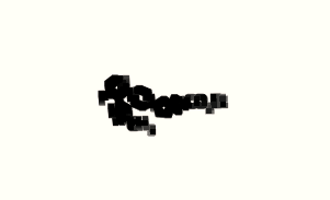 CCOC(=O)N1CC2(CC[C@@H](N3CCN(c4nccc(F)c4-c4cn(C)nn4)CC3)C2)C1